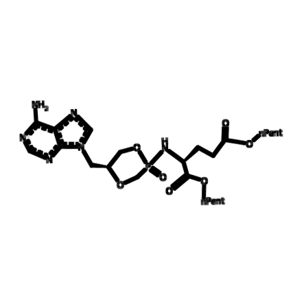 CCCCCOC(=O)CC[C@H](NP1(=O)CO[C@@H](Cn2cnc3c(N)ncnc32)CO1)C(=O)OCCCCC